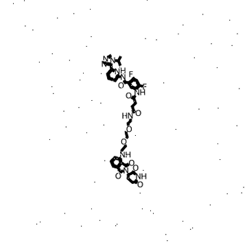 CC(C)n1cnnc1-c1cccc(NC(=O)c2cc(NC(=O)CCC(=O)NCCOCCOCCNc3cccc4c3C(=O)N(C3CCC(=O)NC3=O)C4=O)c(F)cc2F)n1